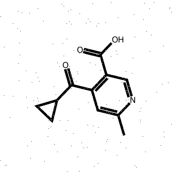 Cc1cc(C(=O)C2CC2)c(C(=O)O)cn1